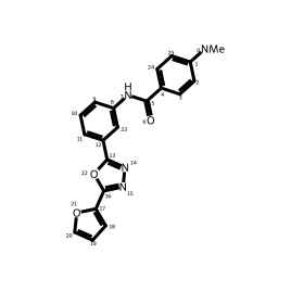 CNc1ccc(C(=O)Nc2cccc(-c3nnc(-c4ccco4)o3)c2)cc1